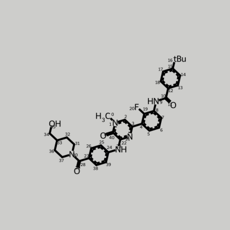 Cn1cc(-c2cccc(NC(=O)c3ccc(C(C)(C)C)cc3)c2F)nc(Nc2ccc(C(=O)N3CCC(CO)CC3)cc2)c1=O